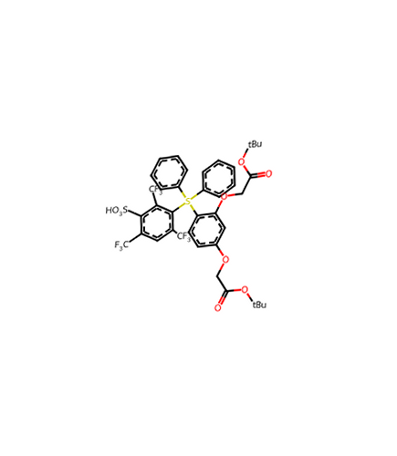 CC(C)(C)OC(=O)COc1ccc(S(c2ccccc2)(c2ccccc2)c2c(C(F)(F)F)cc(C(F)(F)F)c(S(=O)(=O)O)c2C(F)(F)F)c(OCC(=O)OC(C)(C)C)c1